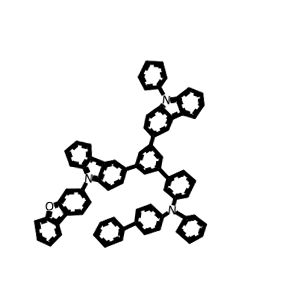 c1ccc(-c2ccc(N(c3ccccc3)c3cccc(-c4cc(-c5ccc6c(c5)c5ccccc5n6-c5ccccc5)cc(-c5ccc6c(c5)c5ccccc5n6-c5ccc6c(c5)oc5ccccc56)c4)c3)cc2)cc1